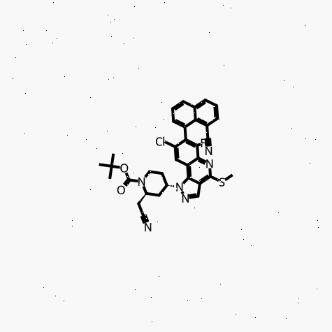 CSc1nc2c(F)c(-c3cccc4cccc(C#N)c34)c(Cl)cc2c2c1cnn2[C@H]1CCN(C(=O)OC(C)(C)C)[C@H](CC#N)C1